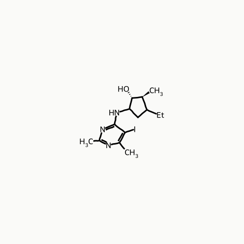 CCC1CC(Nc2nc(C)nc(C)c2I)[C@H](O)[C@H]1C